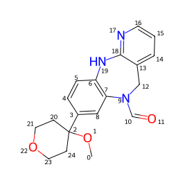 COC1(c2ccc3c(c2)N(C=O)Cc2cccnc2N3)CCOCC1